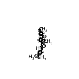 CCc1c(NCC(=O)NCC2CCN(C(C)C)CC2)cccc1C(=O)c1ccc(OC)cc1